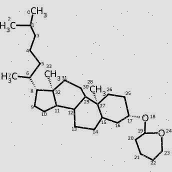 CC(C)CCCC(C)[C@H]1CCC2C3CCC4C[C@@H](OC5CCCCO5)CC[C@]4(C)C3CC[C@@]21C